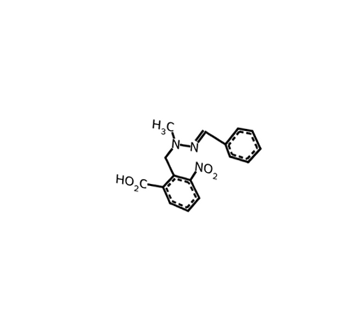 CN(Cc1c(C(=O)O)cccc1[N+](=O)[O-])N=Cc1ccccc1